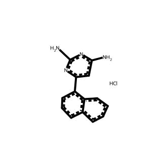 Cl.Nc1cc(-c2cccc3ccccc23)nc(N)n1